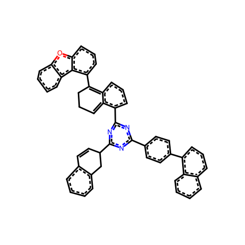 C1=CC(c2nc(-c3ccc(-c4cccc5ccccc45)cc3)nc(-c3cccc4c3=CCCC=4c3cccc4oc5ccccc5c34)n2)Cc2ccccc21